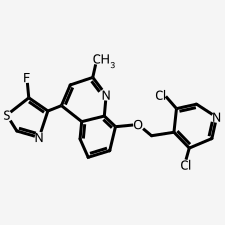 Cc1cc(-c2ncsc2F)c2cccc(OCc3c(Cl)cncc3Cl)c2n1